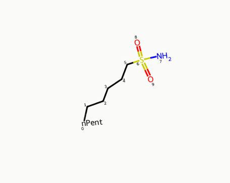 CCCCCCCC[CH]CS(N)(=O)=O